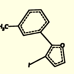 Cc1cccc(-c2occc2I)c1